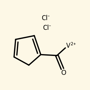 O=[C]([V+2])C1=CC=CC1.[Cl-].[Cl-]